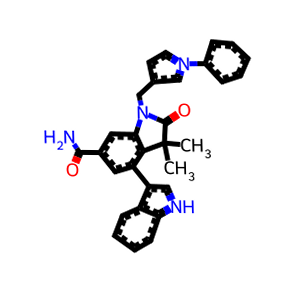 CC1(C)C(=O)N(Cc2ccn(-c3ccccc3)c2)c2cc(C(N)=O)cc(-c3c[nH]c4ccccc34)c21